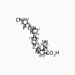 CCn1cncc1Cn1c(CN2Cc3cn(-c4ccnc(OCc5ccc(Cl)cc5F)n4)cc3C2)nc2ccc(C(=O)O)cc21